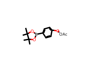 CC(=O)OOc1ccc(B2OC(C)(C)C(C)(C)O2)cc1